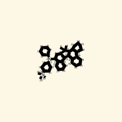 CC1(C)c2cc(N(c3ccccc3)c3ccc([Si](C)(C)C)cc3)c3ccccc3c2-c2c1c1ccccc1c1ccccc21